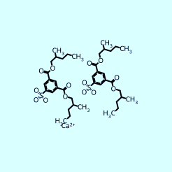 CCCC(C)COC(=O)c1cc(C(=O)OCC(C)CCC)cc(S(=O)(=O)[O-])c1.CCCC(C)COC(=O)c1cc(C(=O)OCC(C)CCC)cc(S(=O)(=O)[O-])c1.[Ca+2]